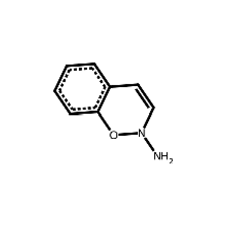 NN1C=Cc2ccccc2O1